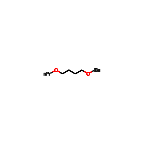 CCCOCCCCOC(C)CC